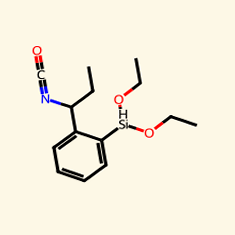 CCO[SiH](OCC)c1ccccc1C(CC)N=C=O